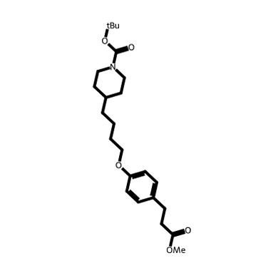 COC(=O)CCc1ccc(OCCCCC2CCN(C(=O)OC(C)(C)C)CC2)cc1